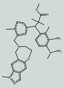 COC(=O)C(C)(C)C(c1ccc(C)c(CN2CCOc3cc4cnn(C)c4cc3C2)c1)c1ccc(N(C)N)c(N)c1C